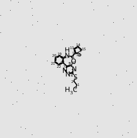 CCCSc1nnc2c(n1)OC(c1cccs1)Nc1ccccc1-2